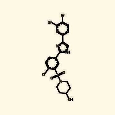 O=S(=O)(c1cc(-c2nc(-c3ccc(Br)c(Br)c3)c[nH]2)ccc1Cl)N1CCC(O)CC1